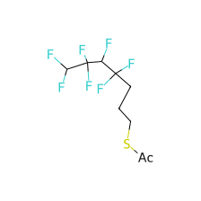 CC(=O)SCCCC(F)(F)C(F)C(F)(F)C(F)F